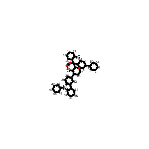 c1ccc(-c2ccc3c(c2)Sc2ccccc2C32c3ccccc3Sc3c(-c4ccc5c(c4)c4ccccc4n5-c4ccccc4)cccc32)cc1